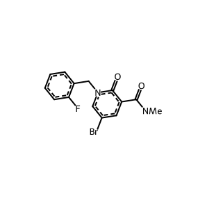 CNC(=O)c1cc(Br)cn(Cc2ccccc2F)c1=O